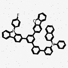 Fc1ccc(-n2c3ccccc3c3ccc(-c4cc(-c5cccc(-c6cccc(N(c7ccccc7)c7ccc8ccccc8c7)c6)c5)cc(-c5ccc6c(c5)oc5ccccc56)c4)cc32)cc1